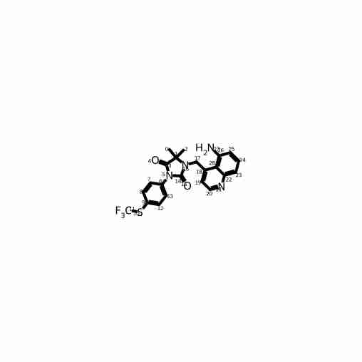 CC1(C)C(=O)N(c2ccc(SC(F)(F)F)cc2)C(=O)N1Cc1ccnc2cccc(N)c12